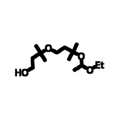 CCOC(C)OC(C)(C)CCOC(C)(C)CCO